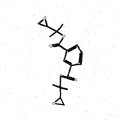 CC(C)(OC(=O)c1cccc(C(=O)OC(C)(C)C2CO2)c1)C1CO1